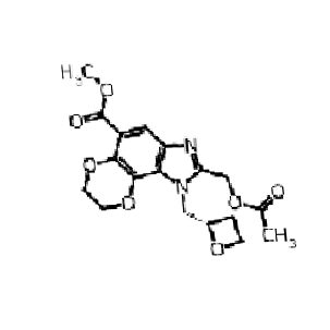 COC(=O)c1cc2nc(COC(C)=O)n(C[C@@H]3CCO3)c2c2c1OCCO2